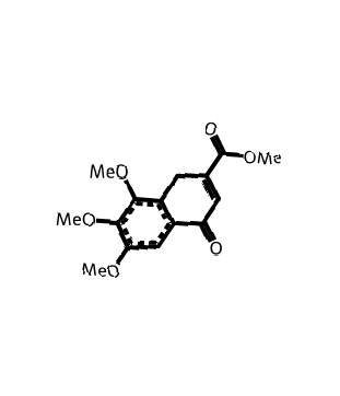 COC(=O)C1=CC(=O)c2cc(OC)c(OC)c(OC)c2C1